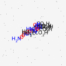 NCCOCCOCC(=O)NCCOCCOCC(=O)NCCCC[C@@H](C(=O)NCC(C(=O)O)N(CC(=O)O)CC(=O)O)N(CC(=O)NCC(C(=O)O)N(CC(=O)O)CC(=O)O)CC(=O)NCC(C(=O)O)N(CC(=O)O)CC(=O)O